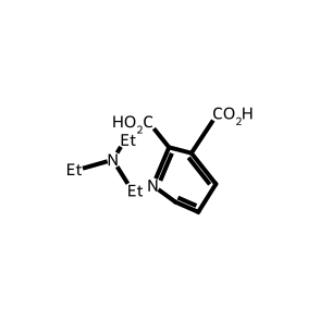 CCN(CC)CC.O=C(O)c1cccnc1C(=O)O